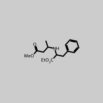 CCOC(=O)C(Cc1ccccc1)NC(C)CC(=O)OC